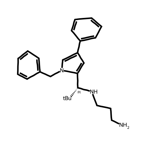 CC(C)(C)[C@@H](NCCCN)c1cc(-c2ccccc2)cn1Cc1ccccc1